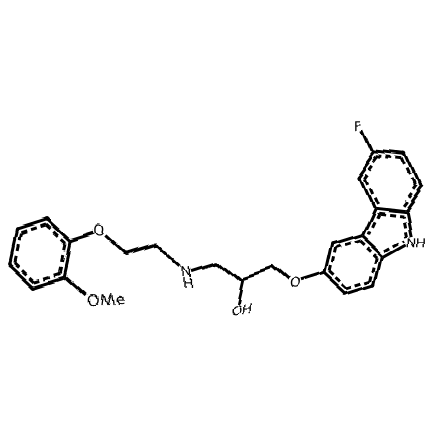 COc1ccccc1OCCNCC(O)COc1ccc2[nH]c3ccc(F)cc3c2c1